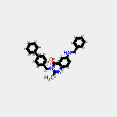 Cc1nc2ccc(NCc3ccccc3)cc2c(=O)n1Cc1ccc(-c2ccccc2)cc1